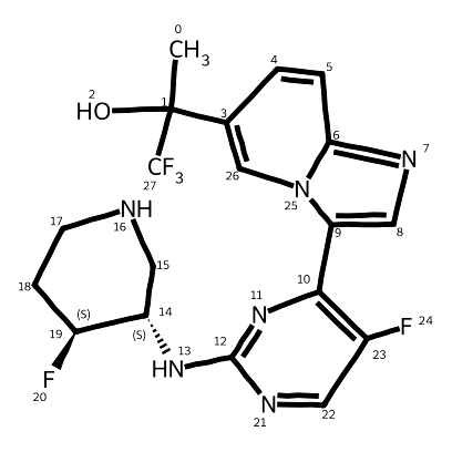 CC(O)(c1ccc2ncc(-c3nc(N[C@H]4CNCC[C@@H]4F)ncc3F)n2c1)C(F)(F)F